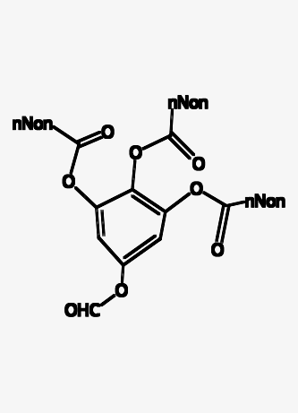 CCCCCCCCCC(=O)Oc1cc(OC=O)cc(OC(=O)CCCCCCCCC)c1OC(=O)CCCCCCCCC